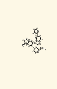 Nc1ncccc1-c1nc2ccc(-n3cccn3)nc2n1-c1ccc2c(c1)CCC2=O